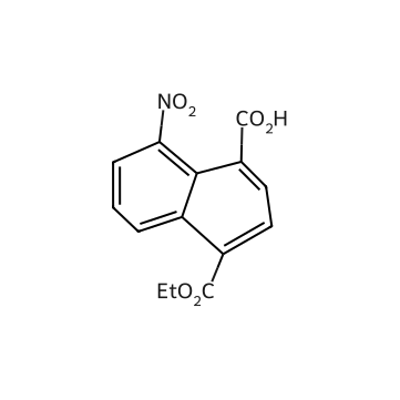 CCOC(=O)c1ccc(C(=O)O)c2c([N+](=O)[O-])cccc12